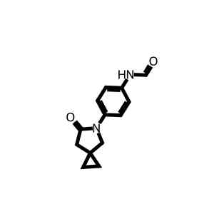 O=CNc1ccc(N2CC3(CC3)CC2=O)cc1